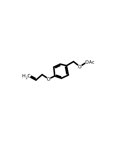 C=CCOc1ccc(COOC(C)=O)cc1